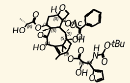 CC(=O)O[C@@]12CO[C@@H]1C[C@H](OC(=O)[C@@H](C)O)[C@@]1(C)C(=O)[C@H](O)C3=C(C)[C@@H](OC(=O)[C@H](O)[C@@H](NC(=O)OC(C)(C)C)c4ccco4)C[C@@](O)([C@@H](OC(=O)c4ccccc4)C12)C3(C)C